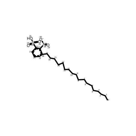 CCCCCCCCCCCCCCCCCCc1cccc(S(=O)(=O)O)c1[N+](=O)[O-]